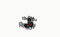 CC(C)(C)c1cc(C(SC(c2cc(C(C)(C)C)c(O)c(C(C)(C)C)c2)c2ccc(Cl)cc2Cl)c2ccc(Cl)cc2Cl)cc(C(C)(C)C)c1O